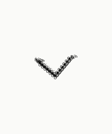 [Bi+3].[Bi+3].[Nb+5].[Nb+5].[O]=[Ti]([O-])[O-].[O]=[Ti]([O-])[O-].[O]=[Ti]([O-])[O-].[O]=[Ti]([O-])[O-].[O]=[Ti]([O-])[O-].[O]=[Ti]([O-])[O-].[O]=[Ti]([O-])[O-].[O]=[Ti]([O-])[O-].[O]=[Ti]([O-])[O-].[O]=[Ti]([O-])[O-].[O]=[Ti]([O-])[O-].[O]=[Ti]([O-])[O-].[O]=[Ti]([O-])[O-].[Ta+5].[Ta+5]